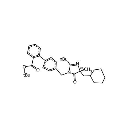 CCCCC1=N[C@](C)(CC2CCCCC2)C(=O)N1Cc1ccc(-c2ccccc2C(=O)OC(C)(C)C)cc1